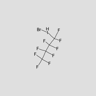 FC(F)(F)C(F)(F)C(F)(F)C(F)(F)[IH]Br